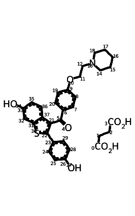 O=C(O)CCC(=O)O.O=C(c1ccc(OCCN2CCCCC2)cc1)c1c(-c2ccc(O)cc2)sc2cc(O)ccc12